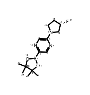 CC1(C)OB(c2cnc(N3CC[C@H](F)C3)cn2)OC1(C)C